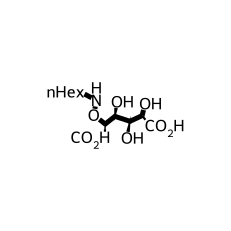 CCCCCCNO[C@@H](C(=O)O)[C@@H](O)[C@H](O)[C@H](O)C(=O)O